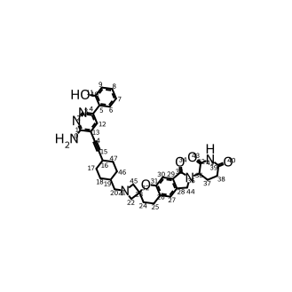 Nc1nnc(-c2ccccc2O)cc1C#CC1CCC(CN2CC3(CCc4cc5c(cc4O3)C(=O)N(C3CCC(=O)NC3=O)C5)C2)CC1